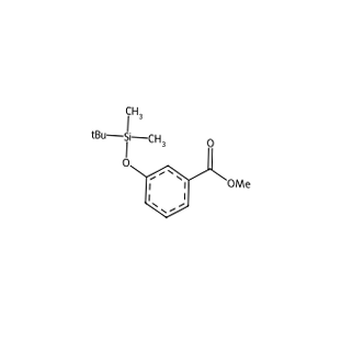 COC(=O)c1cccc(O[Si](C)(C)C(C)(C)C)c1